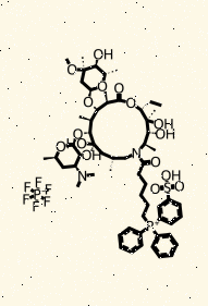 CC[C@H]1OC(=O)[C@H](C)[C@@H](O[C@H]2C[C@@](C)(OC)[C@@H](O)[C@H](C)O2)[C@H](C)[C@@H](O[C@@H]2O[C@H](C)C[C@H](N(C)C)[C@H]2O)[C@](C)(O)C[C@@H](C)CN(C(=O)CCCCC[P+](c2ccccc2)(c2ccccc2)c2cccc(S(=O)(=O)O)c2)[C@H](C)[C@@H](O)[C@]1(C)O.F[P-](F)(F)(F)(F)F